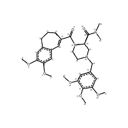 COc1cc2c(cc1OC)CCCC(C(=O)N1CCN(Cc3cc(OC)c(OC)c(OC)c3)CC1C(=O)N(C)C)=C2